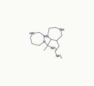 [CH2]C(N)(C1NCCNCC1CCN)N1CCCNCC1